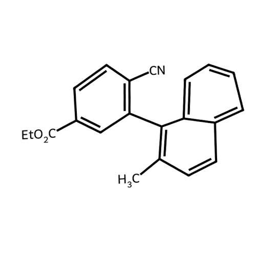 CCOC(=O)c1ccc(C#N)c(-c2c(C)ccc3ccccc23)c1